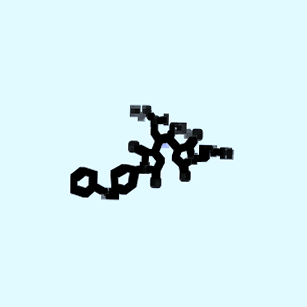 BP(I)C/C(=C(\C)C1CC(=O)N(CNCC)C1=O)C1CC(=O)N(c2ccc(Nc3ccccc3)cc2)C1=O